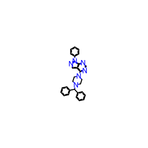 c1ccc(C(c2ccccc2)N2CCN(c3ncnc4c3cnn4-c3ccccc3)CC2)cc1